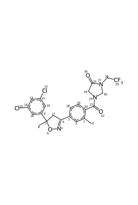 Cc1cc(C2=NOC(C)(c3cc(Cl)cc(Cl)c3)C2)ccc1C(=O)N1CC(=O)N(CC(F)(F)F)C1